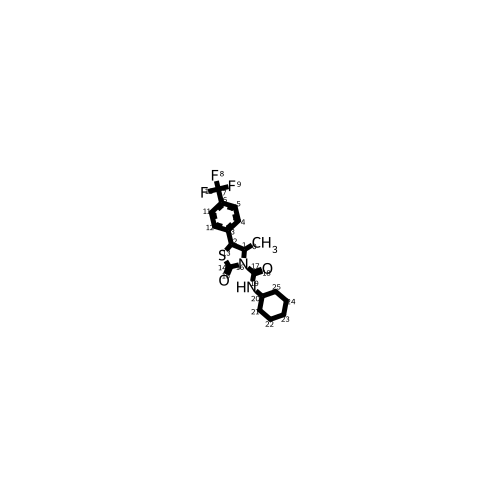 CC1C(c2ccc(C(F)(F)F)cc2)SC(=O)N1C(=O)NC1CCCCC1